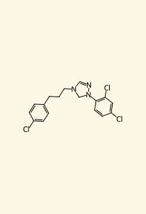 Clc1ccc(CCCN2C=NN(c3ccc(Cl)cc3Cl)C2)cc1